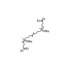 CCN(CC)CCO[Si](C)(CCCSSCCC[Si](C)(OC)OCCN(CC)CC)OC